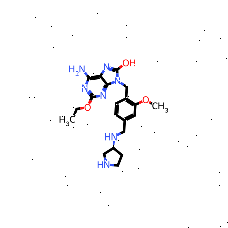 CCOc1nc(N)c2nc(O)n(Cc3ccc(CN[C@H]4CCNC4)cc3OC)c2n1